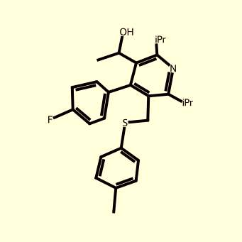 Cc1ccc(SCc2c(C(C)C)nc(C(C)C)c(C(C)O)c2-c2ccc(F)cc2)cc1